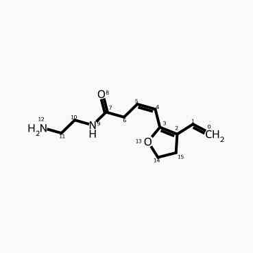 C=CC1=C(/C=C\CC(=O)NCCN)OCC1